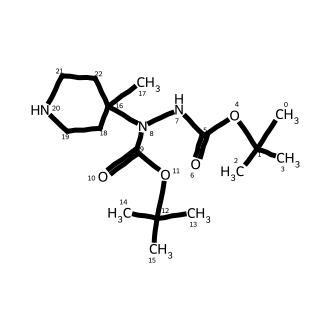 CC(C)(C)OC(=O)NN(C(=O)OC(C)(C)C)C1(C)CCNCC1